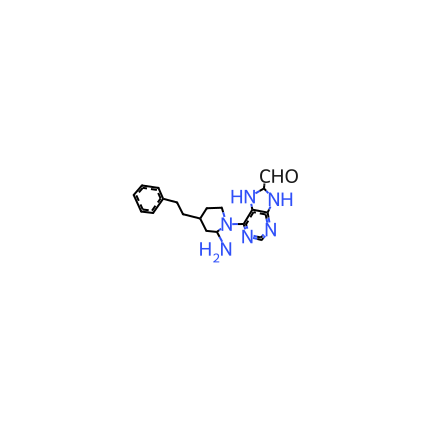 NC1CC(CCc2ccccc2)CCN1c1ncnc2c1NC(C=O)N2